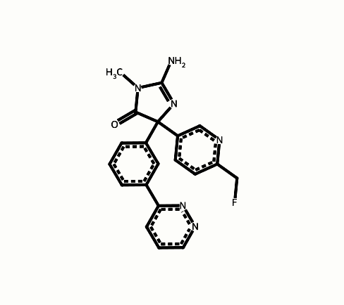 CN1C(=O)C(c2ccc(CF)nc2)(c2cccc(-c3cccnn3)c2)N=C1N